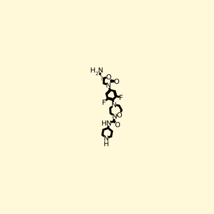 NC[C@H]1CN(c2cc(F)c(N3CCON(C(=O)NC4CCNCC4)CC3)c(F)c2)C(=O)O1